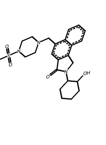 CS(=O)(=O)N1CCN(Cc2cc3c(c4ccccc24)CN(C2CCCCC2O)C3=O)CC1